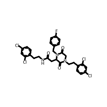 O=C(CC1C(=O)N(CCc2ccc(Cl)cc2Cl)CC(=O)N1Cc1ccc(F)cc1)NCCc1ccc(Cl)cc1Cl